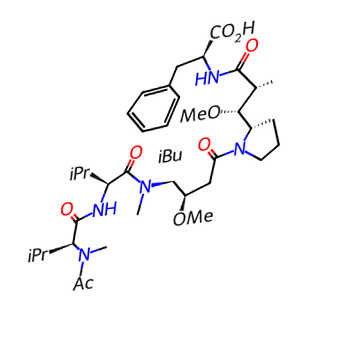 CC[C@H](C)[C@@H]([C@@H](CC(=O)N1CCC[C@H]1[C@H](OC)[C@@H](C)C(=O)N[C@@H](Cc1ccccc1)C(=O)O)OC)N(C)C(=O)[C@@H](NC(=O)[C@H](C(C)C)N(C)C(C)=O)C(C)C